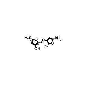 B[C@H]1CC(O)[C@@H](COC2C[C@H](B)O[C@@H]2CC)O1